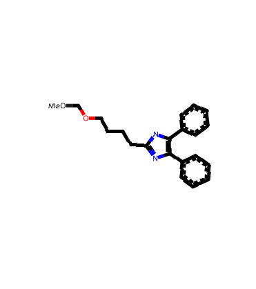 COCOCCCCC1=NC(c2ccccc2)=C(c2ccccc2)[N]1